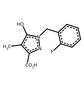 Cc1c(C(=O)O)nn(Cc2ccccc2F)c1O